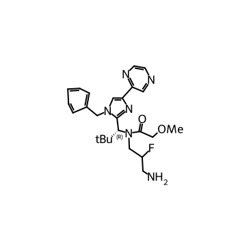 COCC(=O)N(CC(F)CN)[C@@H](c1nc(-c2cnccn2)cn1Cc1ccccc1)C(C)(C)C